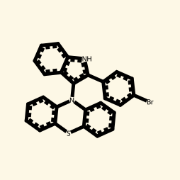 Brc1ccc(-c2[nH]c3ccccc3c2N2c3ccccc3Sc3ccccc32)cc1